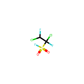 O=S(=O)(F)C(F)(Cl)C(F)Cl